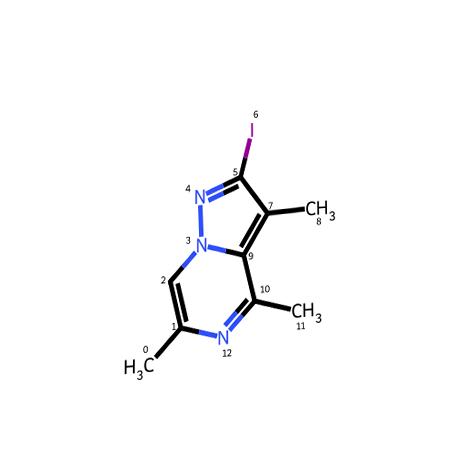 Cc1cn2nc(I)c(C)c2c(C)n1